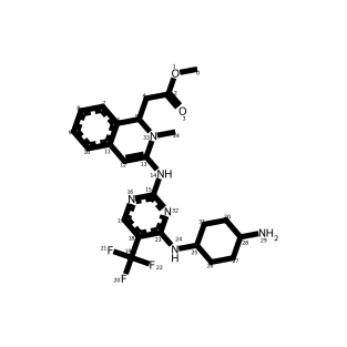 COC(=O)CC1c2ccccc2C=C(Nc2ncc(C(F)(F)F)c(NC3CCC(N)CC3)n2)N1C